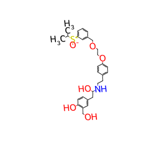 CC(C)[S+]([O-])c1cccc(COCCOc2ccc(CCNC(O)Cc3ccc(O)c(CO)c3)cc2)c1